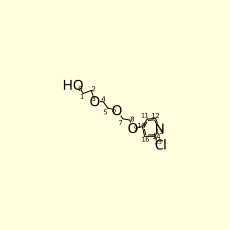 OCCOCCOCCOc1ccnc(Cl)c1